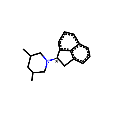 CC1CC(C)CN([C@@H]2Cc3cccc4cccc2c34)C1